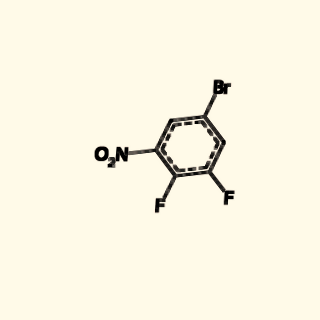 O=[N+]([O-])c1cc(Br)cc(F)c1F